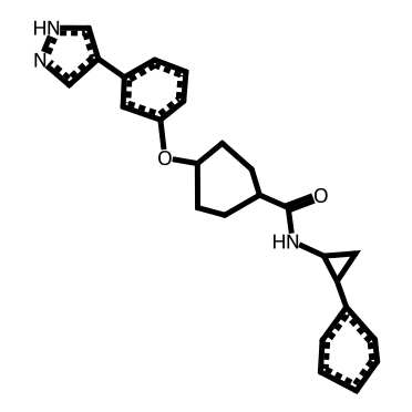 O=C(NC1CC1c1ccccc1)C1CCC(Oc2cccc(-c3cn[nH]c3)c2)CC1